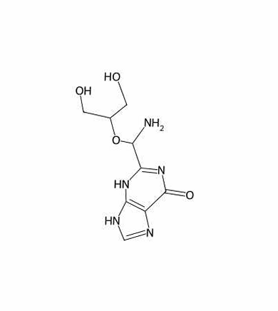 NC(OC(CO)CO)c1nc(=O)c2nc[nH]c2[nH]1